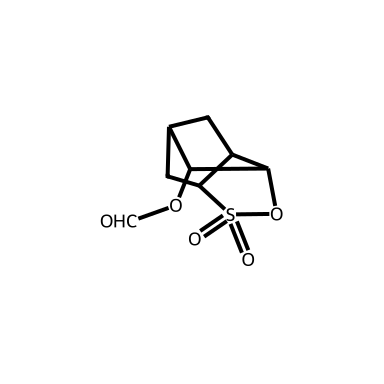 O=COC1C2CC3C1OS(=O)(=O)C3C2